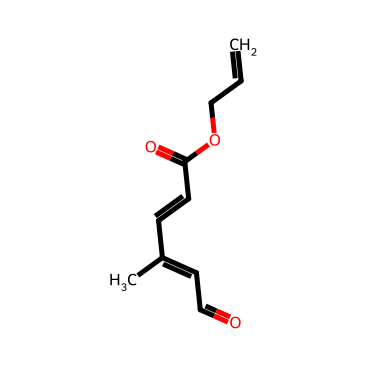 C=CCOC(=O)C=CC(C)=CC=O